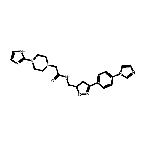 O=C(CN1CCN(c2ncc[nH]2)CC1)NCC1CC(c2ccc(-n3ccnc3)cc2)=NO1